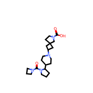 O=C(O)N1CCC2(CC(N3CCC(C4CCCN4C(=O)N4CCC4)CC3)C2)C1